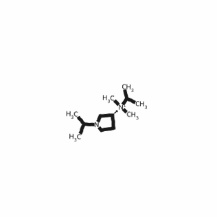 CC(C)N1CC[C@@H]([N+](C)(C)C(C)C)C1